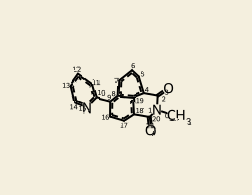 CN1C(=O)c2cccc3c(-c4ccccn4)ccc(c23)C1=O